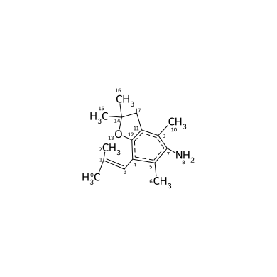 CC(C)=Cc1c(C)c(N)c(C)c2c1OC(C)(C)C2